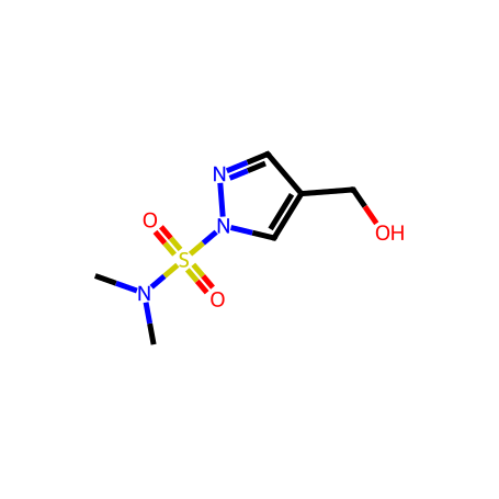 CN(C)S(=O)(=O)n1cc(CO)cn1